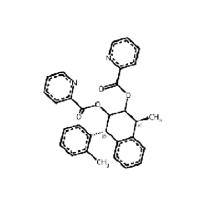 Cc1ccccc1[C@H]1c2ccccc2[C@H](C)C(OC(=O)c2ccccn2)C1OC(=O)c1ccccn1